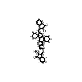 O=C1C(=O)c2ccccc2/C1=C/C1=CC2=C(c3sc4cc(/C=C5/c6ccccc6C(=O)C5O)sc4c3C23CCCCC3)C12CCCCC2